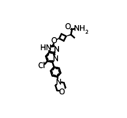 CC(C(N)=O)[C@H]1C[C@@H](Oc2nc3nc(-c4ccc(N5CCOCC5)cc4)c(Cl)cc3[nH]2)C1